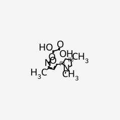 Cc1cc([C@H]2C[C@H](C)CN2C)on1.O=C(O)C(=O)O